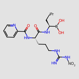 CC(C)C[C@H](NC(=O)[C@H](CCCNC(=N)N[N+](=O)[O-])NC(=O)c1ccccn1)B(O)O